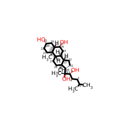 CC(C)CC[C@@H](O)[C@](C)(O)[C@H]1CC[C@H]2[C@@H]3C[C@H](O)[C@H]4C[C@@H](O)CC[C@]4(C)[C@H]3CC[C@]12C